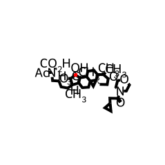 CC(=O)N(CC(=O)O)CC1C[C@@H](C)[C@H]2C(O1)[C@H](O)[C@@]1(C)C3CCC4C(C)(C)[C@@H](O[C@H]5CN(C(=O)CC6CC6)CCO5)CC[C@@]45CC35CC[C@]21C